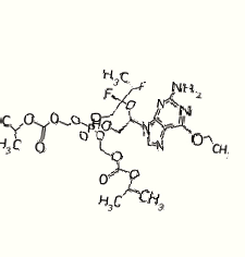 CCOc1nc(N)nc2c1ncn2[C@@H](CO)O[C@](F)(COP(=O)(OCOC(=O)OC(C)C)OCOC(=O)OC(C)C)[C@H](C)F